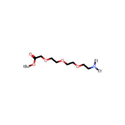 CCN(CC)CCOCCOCCOCC(=O)OC(C)(C)C